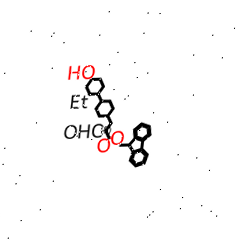 CCC1CC(O)CCC1C1CCC(C[C@@H](C=O)C(=O)OCC2c3ccccc3-c3ccccc32)CC1